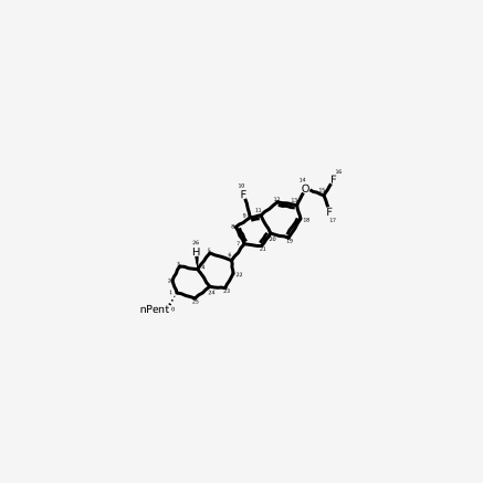 CCCCC[C@@H]1CC[C@@H]2CC(c3cc(F)c4cc(OC(F)F)ccc4c3)CCC2C1